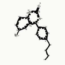 CCCCc1ccc(-c2nc(=O)[nH]c3ccc(Br)cc23)cc1